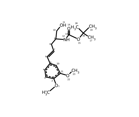 COc1ccc(C=CCC(CO)NC(=O)OC(C)(C)C)cc1OC